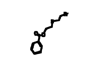 O=C(OCCSCCBr)c1ccccc1